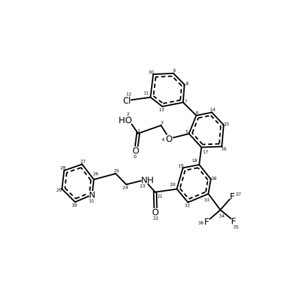 O=C(O)COc1c(-c2cccc(Cl)c2)cccc1-c1cc(C(=O)NCCc2ccccn2)cc(C(F)(F)F)c1